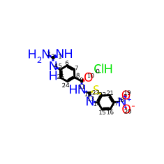 Cl.N=C(N)Nc1ccc(C(=O)Nc2nc3ccc([N+](=O)[O-])cc3s2)cc1